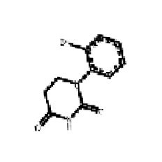 O=C1CCN(c2ccccc2Br)C(=O)N1